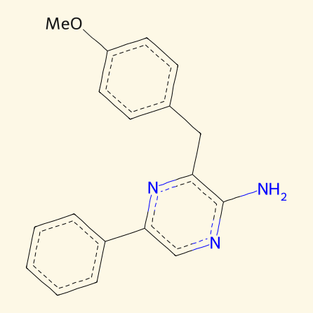 COc1ccc(Cc2nc(-c3ccccc3)cnc2N)cc1